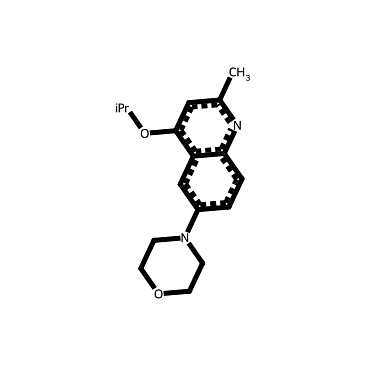 Cc1cc(OC(C)C)c2cc(N3CCOCC3)ccc2n1